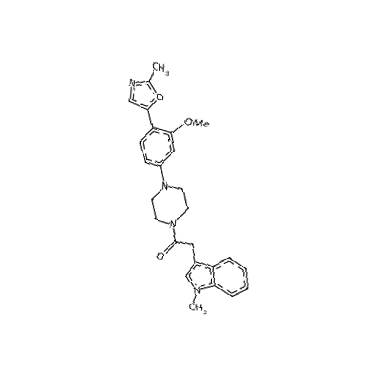 COc1cc(N2CCN(C(=O)Cc3cn(C)c4ccccc34)CC2)ccc1-c1cnc(C)o1